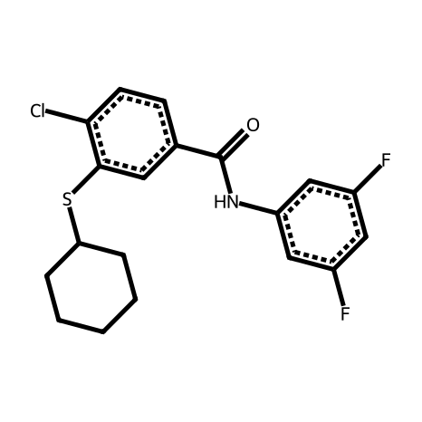 O=C(Nc1cc(F)cc(F)c1)c1ccc(Cl)c(SC2CCCCC2)c1